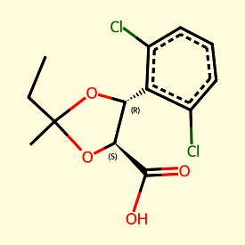 CCC1(C)O[C@H](C(=O)O)[C@@H](c2c(Cl)cccc2Cl)O1